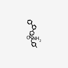 Cc1ccc(CC(N)C(=O)N2CCC(c3cccc(-c4ccccc4)c3)CC2)cc1